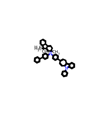 CC1(N(c2ccc(C3=CCc4c(n(-c5ccccc5)c5ccccc45)C=C3)cc2)c2ccc(-c3ccccc3)cc2)C=C2C(=CC1)C1C=CC=CC1(C)C2(C)C